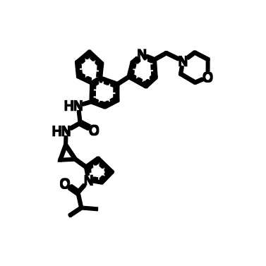 CC(C)C(=O)n1cccc1C1CC1NC(=O)Nc1ccc(-c2ccc(CN3CCOCC3)nc2)c2ccccc12